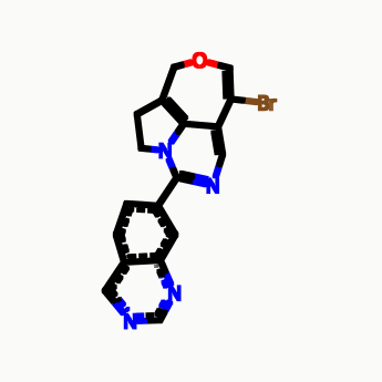 BrC1=COCC2=C3C1=CN=C(c1ccc4cncnc4c1)N3CC2